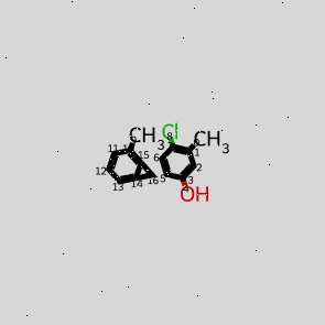 Cc1cc(O)ccc1Cl.Cc1cccc2c1C2